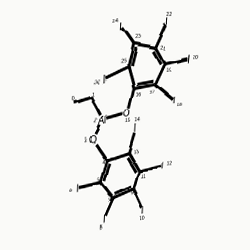 C[CH2][Al]([O]c1c(I)c(I)c(I)c(I)c1I)[O]c1c(I)c(I)c(I)c(I)c1I